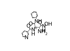 NC(C(=O)NO)[C@H](NC(=O)c1cccnc1)C(=O)Nc1ccccc1